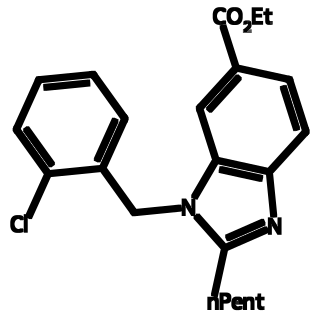 CCCCCc1nc2ccc(C(=O)OCC)cc2n1Cc1ccccc1Cl